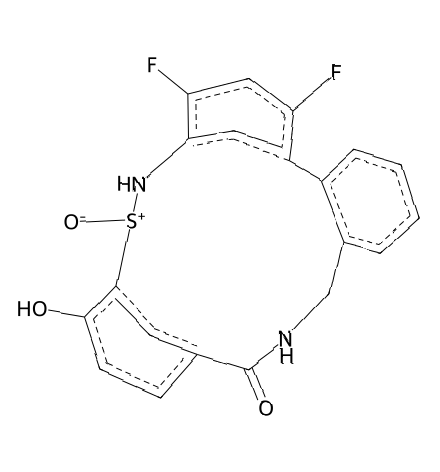 O=C1NCc2ccccc2-c2cc(c(F)cc2F)N[S+]([O-])c2cc1ccc2O